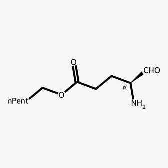 CCCCCCOC(=O)CC[C@H](N)C=O